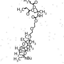 C=CC(=O)OCC(C)(COC(=O)C=C)NC(=O)OCCOCCC[Si](C)(C)C(CC)(CC)O[Si](C)(C)C(CC)(CC)O[Si](C)(C)CCCC